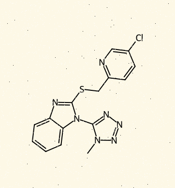 Cn1nnnc1-n1c(SCc2ccc(Cl)cn2)nc2ccccc21